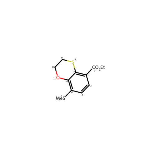 CCOC(=O)c1ccc(SC)c2c1SCCO2